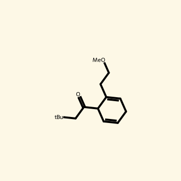 COCCC1=CCC=CC1C(=O)CC(C)(C)C